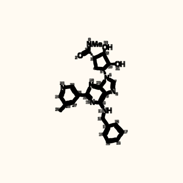 CNC(=O)[C@H]1C[C@@H](n2cnc3c(NCc4ccccc4)nc(-c4cncc(C)c4)nc32)[C@H](O)[C@@H]1O